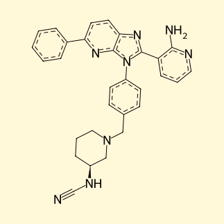 N#CN[C@H]1CCCN(Cc2ccc(-n3c(-c4cccnc4N)nc4ccc(-c5ccccc5)nc43)cc2)C1